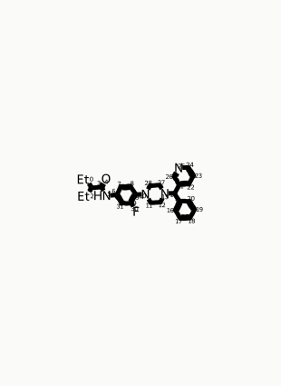 CCC(CC)C(=O)Nc1ccc(N2CCN(C(c3ccccc3)c3cccnc3)CC2)c(F)c1